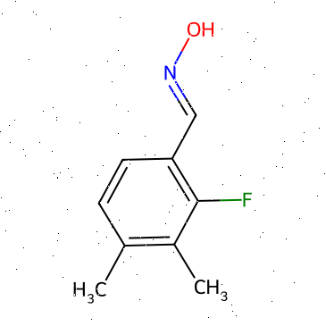 Cc1ccc(/C=N/O)c(F)c1C